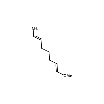 CC=CCCCC=COC